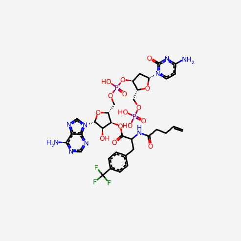 C=CCCC(=O)NC(Cc1ccc(C(F)(F)F)cc1)C(=O)O[C@H]1[C@@H](O)[C@H](n2cnc3c(N)ncnc32)O[C@@H]1COP(=O)(O)O[C@H]1C[C@H](n2ccc(N)nc2=O)O[C@@H]1COP(=O)(O)O